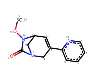 O=C1N2CC(c3ccccn3)=CC(C2)N1OS(=O)(=O)O